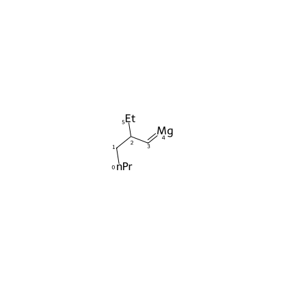 CCCCC([CH]=[Mg])CC